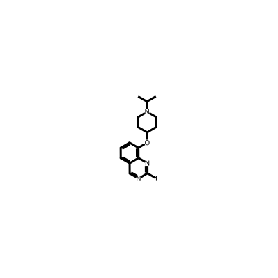 CC(C)N1CCC(Oc2cccc3cnc(I)nc23)CC1